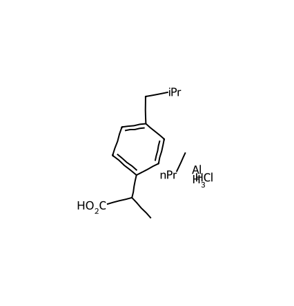 CC(C)Cc1ccc(C(C)C(=O)O)cc1.CCCC.Cl.[AlH3]